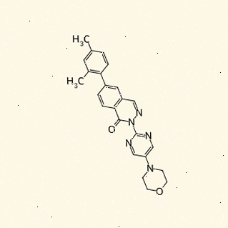 Cc1ccc(-c2ccc3c(=O)n(-c4ncc(N5CCOCC5)cn4)ncc3c2)c(C)c1